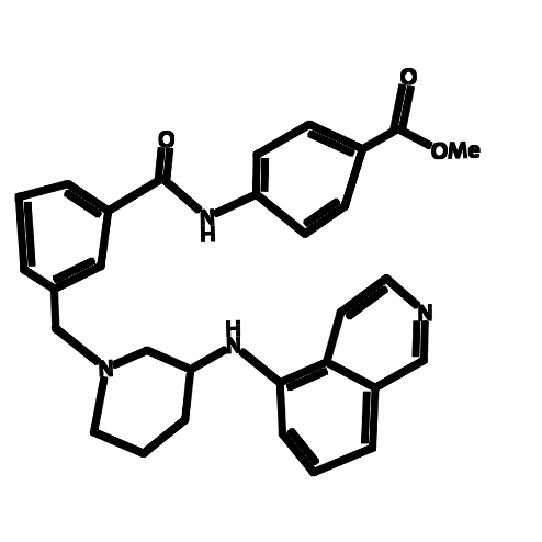 COC(=O)c1ccc(NC(=O)c2cccc(CN3CCCC(Nc4cccc5cnccc45)C3)c2)cc1